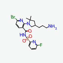 CC1(C)CC(CCCN)CN1c1nc(Br)ccc1C(=O)NS(=O)(=O)c1cccc(F)n1